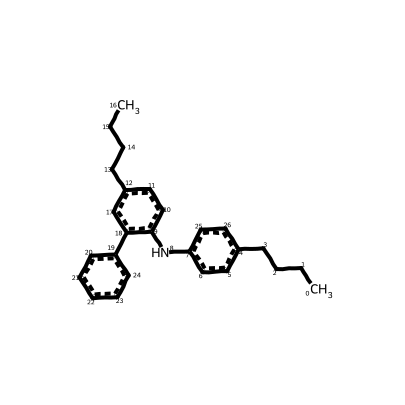 CCCCc1ccc(Nc2ccc(CCCC)cc2-c2ccccc2)cc1